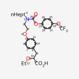 CCCCCCCN(CCOc1ccc(CC(OCC)C(=O)O)cc1)C(=O)Oc1ccc(OC(F)(F)F)cc1